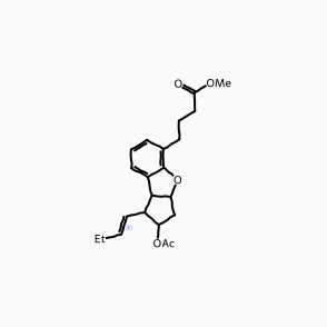 CC/C=C/C1C(OC(C)=O)CC2Oc3c(CCCC(=O)OC)cccc3C21